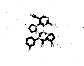 N#Cc1cnc(N)nc1N1CCC[C@H]1c1nn2ccc(Cl)c2c(=O)n1-c1cccc(F)c1